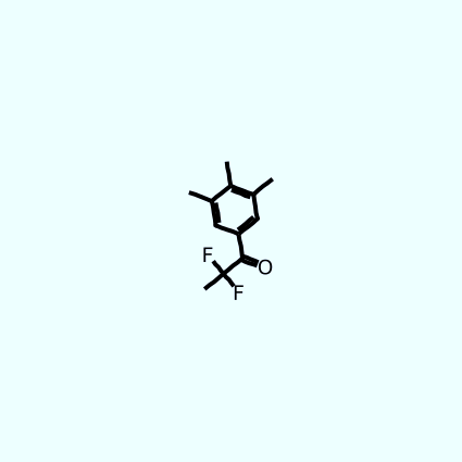 Cc1cc(C(=O)C(C)(F)F)cc(C)c1C